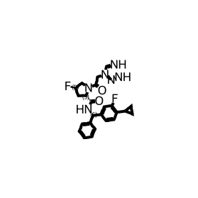 N=CN(CC(=O)N1C[C@H](F)C[C@H]1C(=O)N[C@@H](c1ccccc1)c1ccc(C2CC2)c(F)c1)N=N